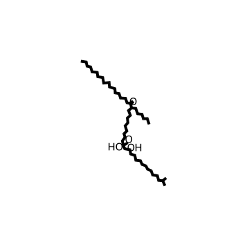 CCCCCCCCCCCCCCCCCC(=O)C(CCCCCC)CCCCCCCCCC(O)(CCCCCCCCCCCCCC(C)C)C(=O)O